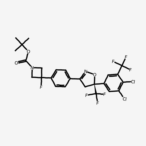 CC(C)(C)OC(=O)N1CC(F)(c2ccc(C3=NO[C@@](c4cc(Cl)c(Cl)c(C(F)(F)F)c4)(C(F)(F)F)C3)cc2)C1